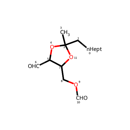 CCCCCCCCC1(C)OC(C=O)C(COC=O)O1